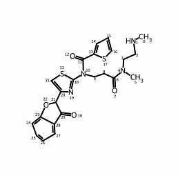 CNCCN(C)C(=O)CCN(C(=O)c1cccs1)c1nc(C2Oc3ccccc3C2=O)cs1